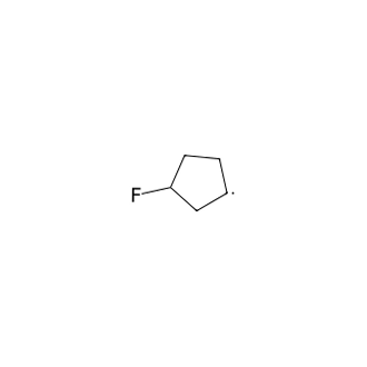 FC1C[CH]CC1